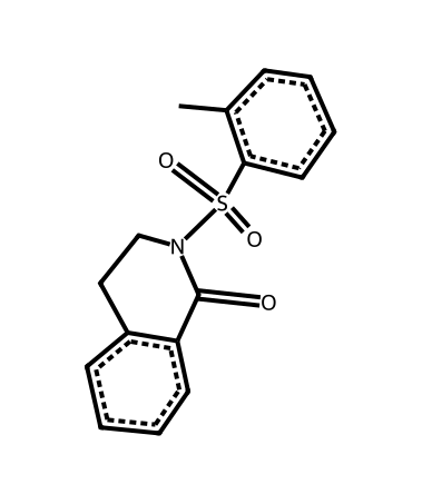 Cc1ccccc1S(=O)(=O)N1CCc2ccccc2C1=O